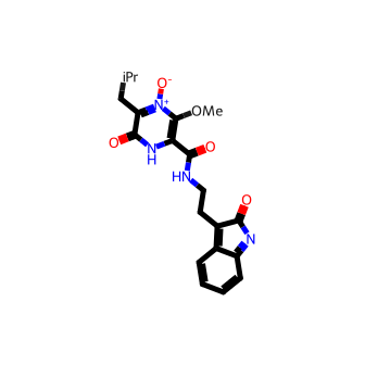 COc1c(C(=O)NCCC2=c3ccccc3=NC2=O)[nH]c(=O)c(CC(C)C)[n+]1[O-]